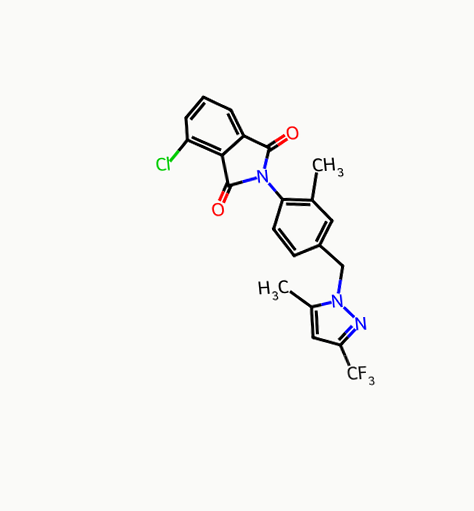 Cc1cc(Cn2nc(C(F)(F)F)cc2C)ccc1N1C(=O)c2cccc(Cl)c2C1=O